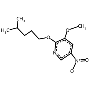 COc1cc([N+](=O)[O-])cnc1OCCCC(C)C